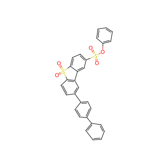 O=S(=O)(Oc1ccccc1)c1ccc2c(c1)-c1cc(-c3ccc(-c4ccccc4)cc3)ccc1S2(=O)=O